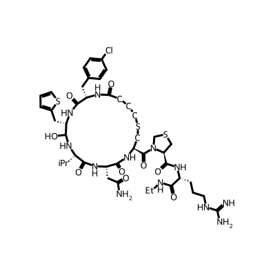 CCNC(=O)[C@@H](CCCNC(=N)N)NC(=O)[C@@H]1CSCN1C(=O)[C@@H]1CSCCCC(=O)N[C@@H](Cc2ccc(Cl)cc2)C(=O)N[C@@H](Cc2cccs2)C(O)N[C@@H](C(C)C)C(=O)N[C@@H](CC(N)=O)C(=O)N1